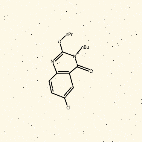 CCCCn1c(OCCC)nc2ccc(Cl)cc2c1=O